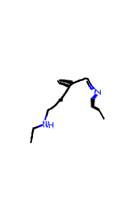 C=C(/C=N\CC)CCNCC